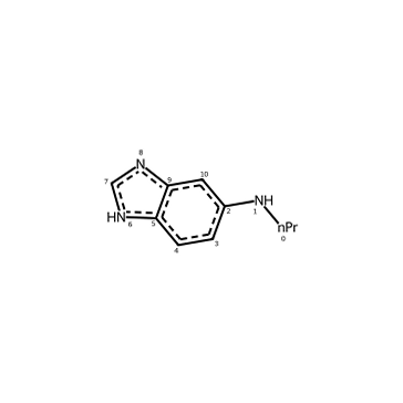 CCCNc1ccc2[nH]cnc2c1